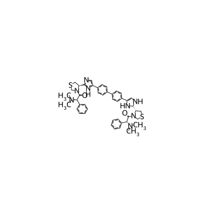 CN(C)[C@@H](C(=O)N1CSC[C@H]1c1ncc(-c2ccc(-c3ccc(C4=CNC([C@@H]5CSCN5C(=O)[C@@H](c5ccccc5)N(C)C)N4)cc3)cc2)[nH]1)c1ccccc1